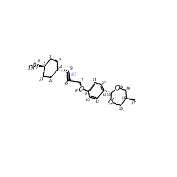 CCC[C@H]1CC[C@H](/C=C/COc2ccc([C@H]3OC[C@H](C)CO3)cc2)CC1